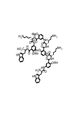 COc1ccc(NC(=O)[C@H](CCCCN)NC(=O)c2cc(NC(=O)[C@H](CCCCN)NC(=O)c3cc(NC(=O)[C@H](CCCCN)NC(=O)c4cc(NC(=O)[C@@H](N)Cc5c[nH]c6ccccc56)ccc4OC)ccc3OC)ccc2OC)cc1C(=O)N[C@@H](Cc1c[nH]c2ccccc12)C(=O)O